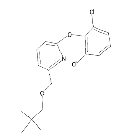 CC(C)(C)COCc1cccc(Oc2c(Cl)cccc2Cl)n1